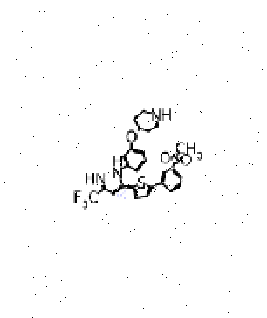 CS(=O)(=O)c1cccc(-c2ccc(/C(=C/C(=N)C(F)(F)F)Nc3cccc(OC4CCNCC4)c3)s2)c1